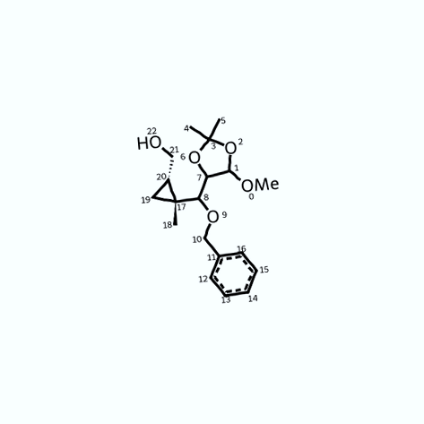 COC1OC(C)(C)OC1C(OCc1ccccc1)[C@]1(C)C[C@@H]1CO